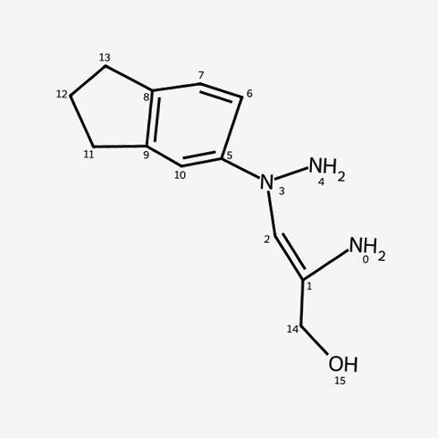 N/C(=C\N(N)c1ccc2c(c1)CCC2)CO